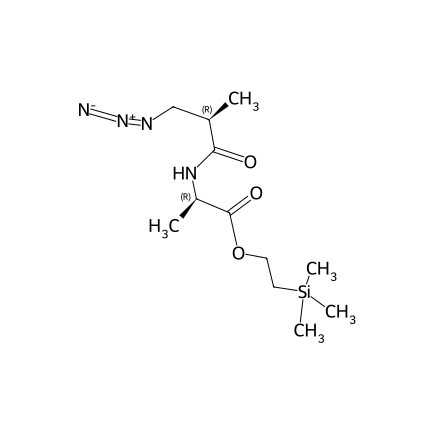 C[C@H](CN=[N+]=[N-])C(=O)N[C@H](C)C(=O)OCC[Si](C)(C)C